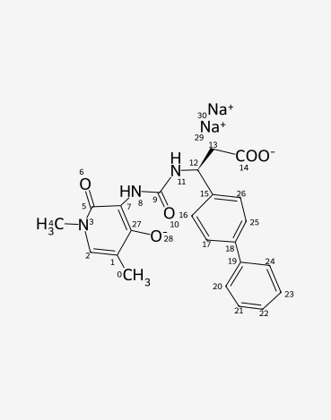 Cc1cn(C)c(=O)c(NC(=O)N[C@@H](CC(=O)[O-])c2ccc(-c3ccccc3)cc2)c1[O-].[Na+].[Na+]